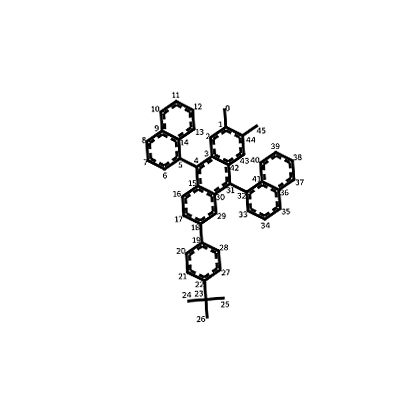 Cc1cc2c(-c3cccc4ccccc34)c3ccc(-c4ccc(C(C)(C)C)cc4)cc3c(-c3cccc4ccccc34)c2cc1C